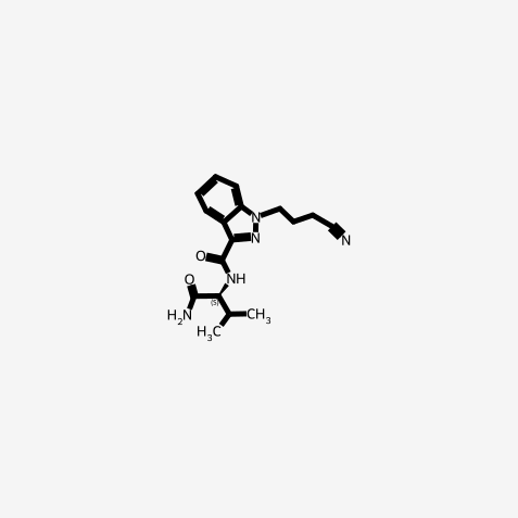 CC(C)[C@H](NC(=O)c1nn(CCCC#N)c2ccccc12)C(N)=O